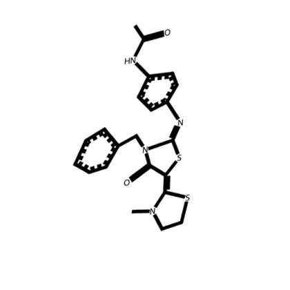 CC(=O)Nc1ccc(N=C2SC(=C3SCCN3C)C(=O)N2Cc2ccccc2)cc1